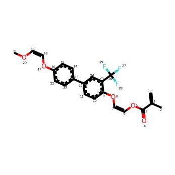 C=C(C)C(=O)O/C=C\Oc1ccc(-c2ccc(O/C=C\OC)cc2)cc1C(F)(F)F